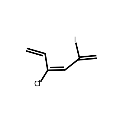 C=C/C(Cl)=C\C(=C)I